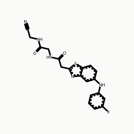 N#CCNC(=O)CNC(=O)Cc1nc2cc(Nc3cccc(F)c3)ccc2s1